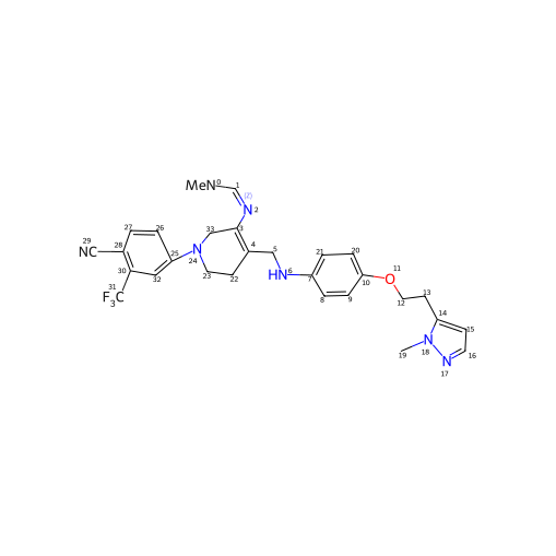 CN/C=N\C1=C(CNc2ccc(OCCc3ccnn3C)cc2)CCN(c2ccc(C#N)c(C(F)(F)F)c2)C1